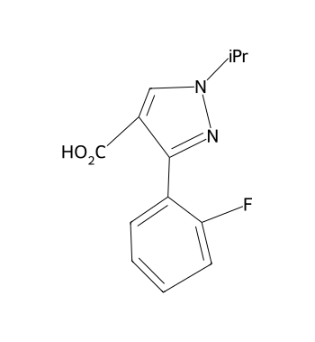 CC(C)n1cc(C(=O)O)c(-c2ccccc2F)n1